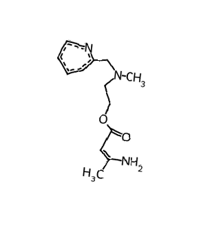 C/C(N)=C/C(=O)OCCN(C)Cc1ccccn1